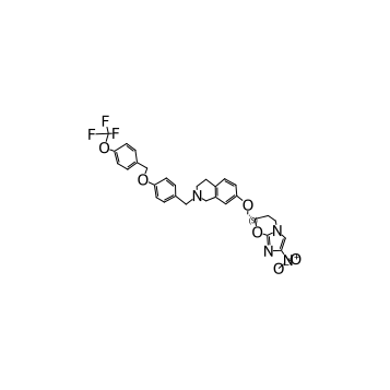 O=[N+]([O-])c1cn2c(n1)O[C@H](COc1ccc3c(c1)CN(Cc1ccc(OCc4ccc(OC(F)(F)F)cc4)cc1)CC3)CC2